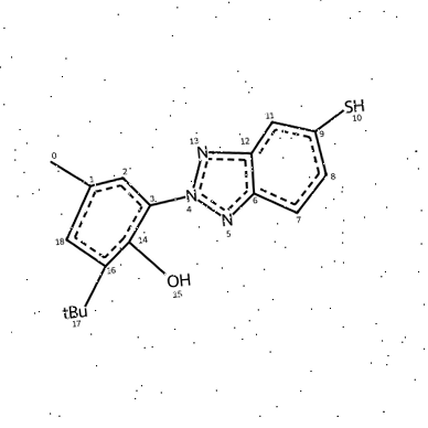 Cc1cc(-n2nc3ccc(S)cc3n2)c(O)c(C(C)(C)C)c1